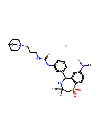 CCCCC1(CCCC)CS(=O)(=O)c2ccc(N(CC)CC)cc2C(c2cccc(NC(=S)NCCC[N+]34CCC(CC3)CC4)c2)N1.[Br-]